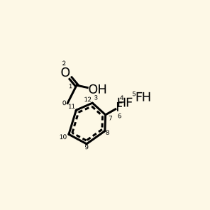 CC(=O)O.F.F.Fc1ccccc1